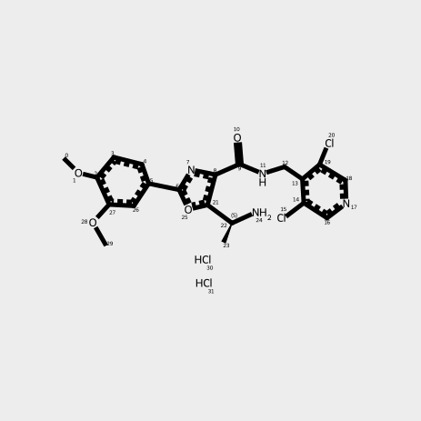 COc1ccc(-c2nc(C(=O)NCc3c(Cl)cncc3Cl)c([C@H](C)N)o2)cc1OC.Cl.Cl